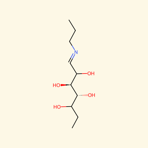 CCC/N=C/C(O)[C@H](O)[C@H](O)C(O)CC